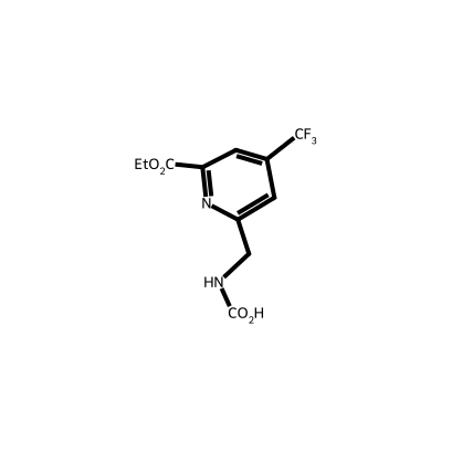 CCOC(=O)c1cc(C(F)(F)F)cc(CNC(=O)O)n1